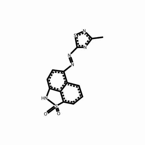 Cc1nsc(/N=N/c2ccc3c4c(cccc24)S(=O)(=O)N3)n1